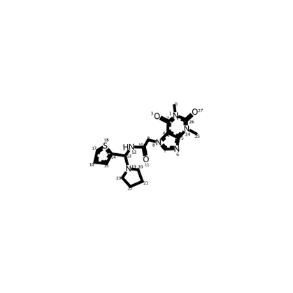 Cn1c(=O)c2c(ncn2CC(=O)NC(c2cccs2)N2CCCC2)n(C)c1=O